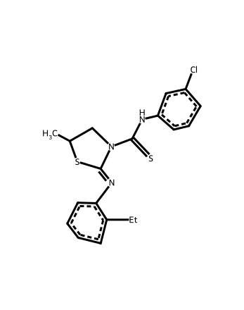 CCc1ccccc1N=C1SC(C)CN1C(=S)Nc1cccc(Cl)c1